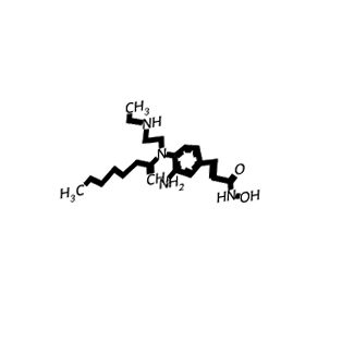 C=C(CCCCCC)N(CCNCC)c1ccc(/C=C/C(=O)NO)cc1N